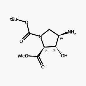 COC(=O)[C@@H]1[C@@H](O)[C@H](N)CN1C(=O)OC(C)(C)C